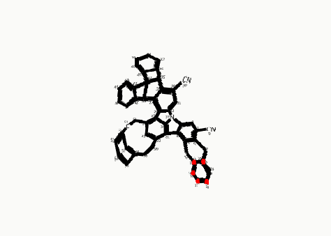 N#Cc1cc2c(c3c1C1c4ccccc4C3c3ccccc31)c1c3cc(c4c5c6c(c(C#N)cc5n2c14)C1c2ccccc2C12c1ccccc1C62)CCc1cccc(c1)CC3